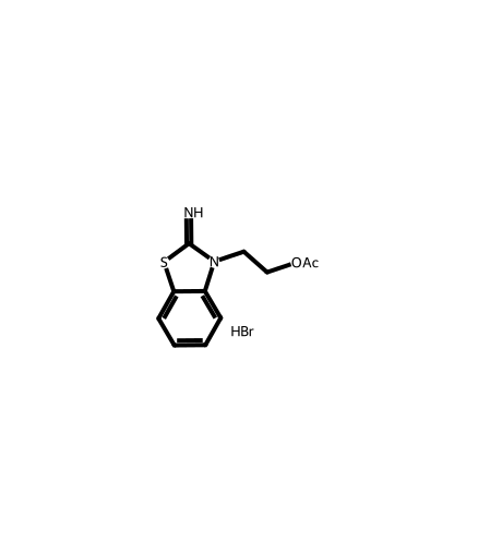 Br.CC(=O)OCCn1c(=N)sc2ccccc21